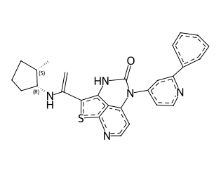 C=C(N[C@@H]1CCC[C@@H]1C)c1sc2nccc3c2c1NC(=O)N3c1ccnc(-c2ccccc2)c1